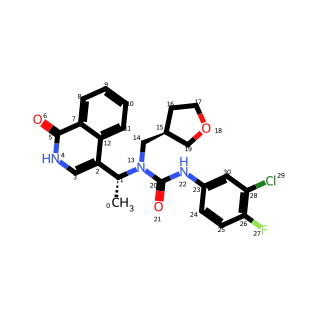 C[C@H](c1c[nH]c(=O)c2ccccc12)N(C[C@H]1CCOC1)C(=O)Nc1ccc(F)c(Cl)c1